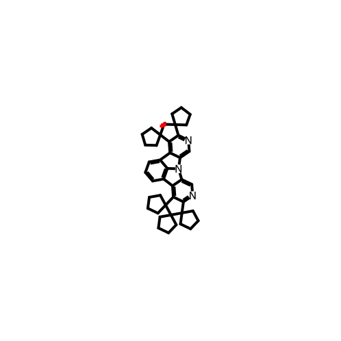 c1cc2c3c4c(ncc3n3c5cnc6c(c5c(c1)c23)C1(CCCC1)C1(CCCC1)C61CCCC1)C1(CCCC1)C1(CCCC1)C41CCCC1